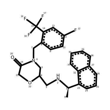 C[C@@H](NCC1CN(Cc2ccc(F)cc2C(F)(F)F)C(=O)CO1)c1cccc2ccccc12